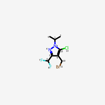 CC(C)n1nc(C(F)F)c(CBr)c1Cl